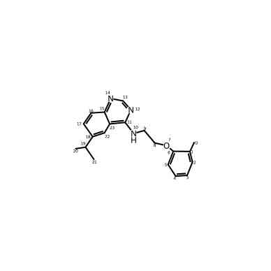 Cc1ccccc1OCCNc1ncnc2ccc(C(C)C)cc12